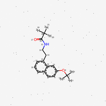 [2H]C([2H])([2H])Oc1ccc2cccc(CCNC(=O)C([2H])([2H])[2H])c2c1